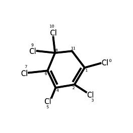 ClC1=C(Cl)C(Cl)=C(Cl)C(Cl)(Cl)C1